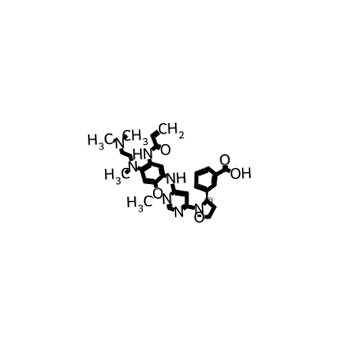 C=CC(=O)Nc1cc(Nc2cc(N3OCC[C@@H]3c3cccc(C(=O)O)c3)ncn2)c(OC)cc1N(C)CCN(C)C